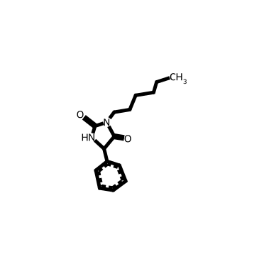 CCCCCCN1C(=O)NC(c2ccccc2)C1=O